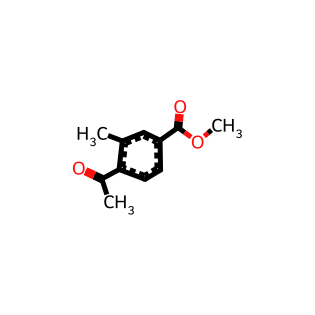 COC(=O)c1ccc(C(C)=O)c(C)c1